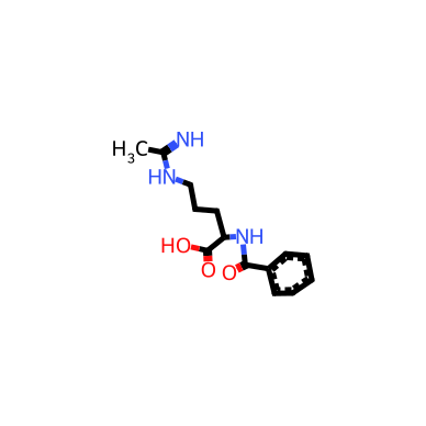 CC(=N)NCCCC(NC(=O)c1ccccc1)C(=O)O